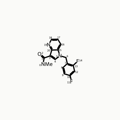 CNC(=O)c1cn(Cc2ccc(F)cc2F)c2cccnc12